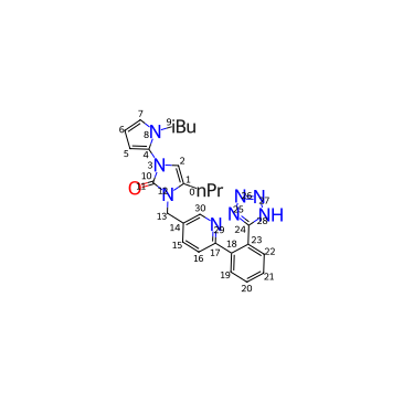 CCCc1cn(-c2cccn2C(C)CC)c(=O)n1Cc1ccc(-c2ccccc2-c2nnn[nH]2)nc1